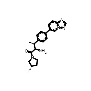 C[C@@H](c1ccc(-c2ccc3ncnn3c2)cc1)C(N)C(=O)N1CC[C@H](F)C1